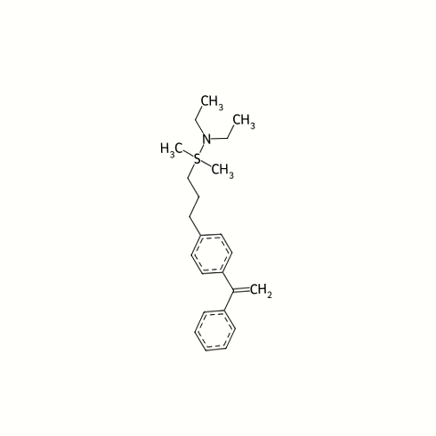 C=C(c1ccccc1)c1ccc(CCCS(C)(C)N(CC)CC)cc1